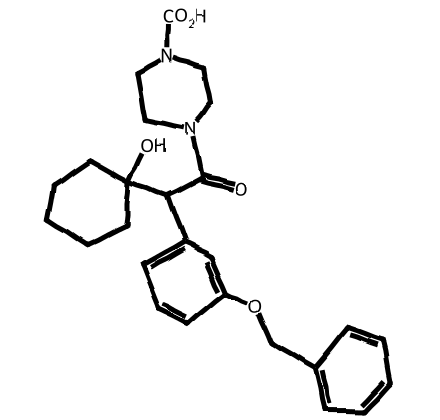 O=C(O)N1CCN(C(=O)C(c2cccc(OCc3ccccc3)c2)C2(O)CCCCC2)CC1